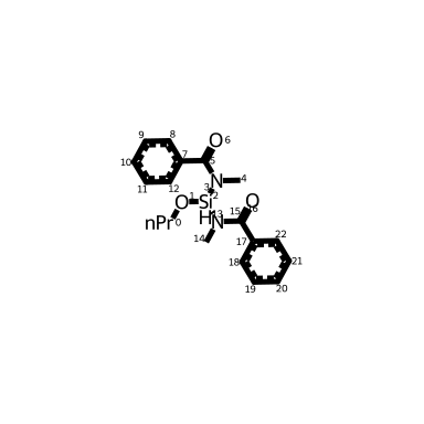 CCCO[SiH](N(C)C(=O)c1ccccc1)N(C)C(=O)c1ccccc1